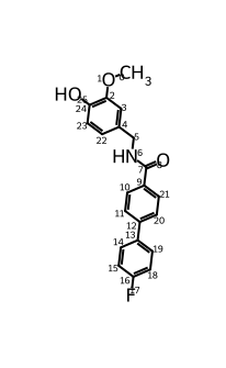 COc1cc(CNC(=O)c2ccc(-c3ccc(F)cc3)cc2)ccc1O